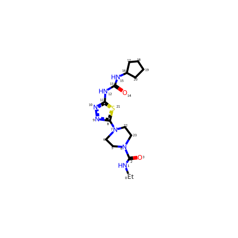 CCNC(=O)N1CCN(c2nnc(NC(=O)NC3CCCC3)s2)CC1